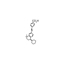 CC1(C)CCC(=C2CCCCC2)c2ccc(C#Cc3ccc(C(=O)O)cc3)cc21